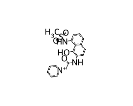 CS(=O)(=O)Nc1cccc2ccc(NC(=O)C[n+]3ccccc3)c(O)c12